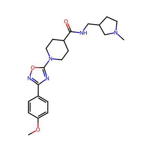 COc1ccc(-c2noc(N3CCC(C(=O)NCC4CCN(C)C4)CC3)n2)cc1